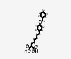 O=C(O)C(CCC=CCCc1ccc(OCc2ccccc2)cc1)C(=O)O